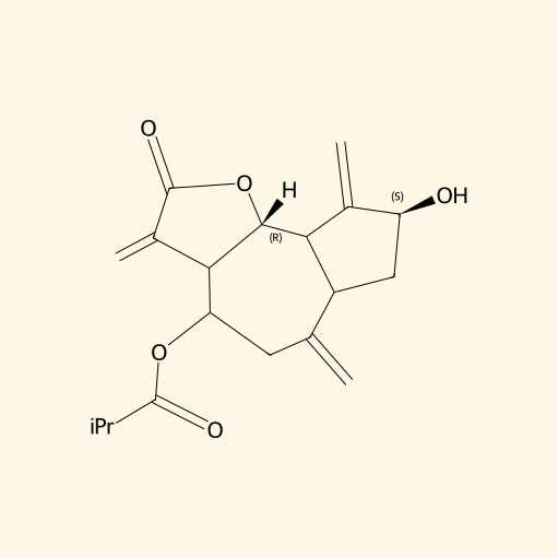 C=C1CC(OC(=O)C(C)C)C2C(=C)C(=O)O[C@@H]2C2C(=C)[C@@H](O)CC12